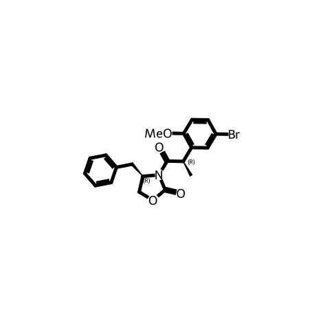 COc1ccc(Br)cc1[C@@H](C)C(=O)N1C(=O)OC[C@H]1Cc1ccccc1